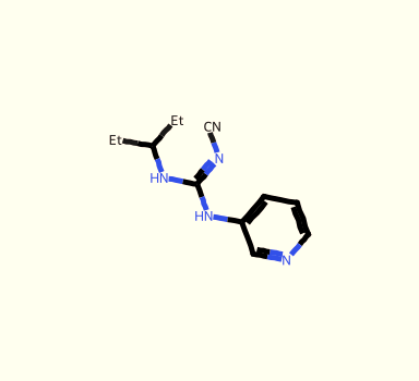 CCC(CC)NC(=NC#N)Nc1cccnc1